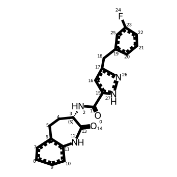 O=C(N[C@H]1CCc2ccccc2NC1=O)c1cc(Cc2cccc(F)c2)n[nH]1